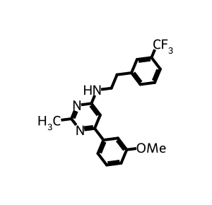 COc1cccc(-c2cc(NCCc3cccc(C(F)(F)F)c3)nc(C)n2)c1